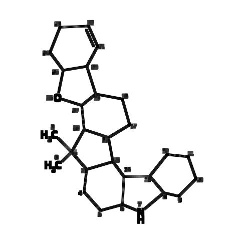 CC1(C)C2CCC3NC4CCCCC4C3C2C2CCC3C4C=CCCC4OC3C21